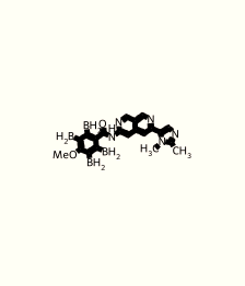 Bc1c(B)c(C(=O)Nc2cc3cc(-c4cnc(C)n4C)ncc3cn2)c(B)c(B)c1OC